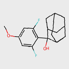 COc1cc(F)c(C2(O)C3CC4CC(C3)CC2C4)c(F)c1